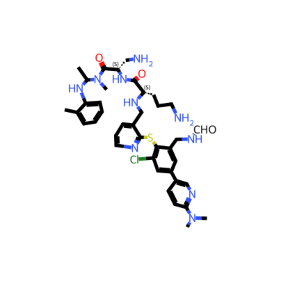 Cc1ccccc1NC(C)N(C)C(=O)[C@H](CN)NC(=O)[C@H](CCCN)NCc1cccnc1Sc1c(Cl)cc(-c2ccc(N(C)C)nc2)cc1CNC=O